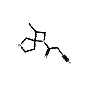 CC1CN(C(=O)CC#N)C12CCNC2